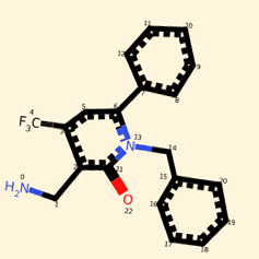 NCc1c(C(F)(F)F)cc(-c2ccccc2)n(Cc2ccccc2)c1=O